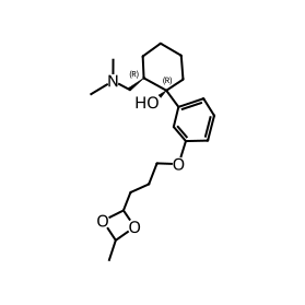 CC1OC(CCCOc2cccc([C@@]3(O)CCCC[C@@H]3CN(C)C)c2)O1